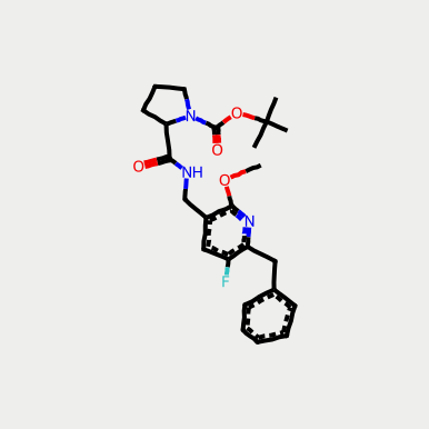 COc1nc(Cc2ccccc2)c(F)cc1CNC(=O)C1CCCN1C(=O)OC(C)(C)C